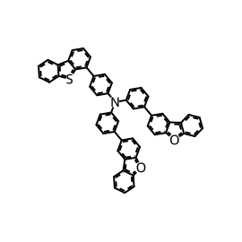 c1cc(-c2ccc3oc4ccccc4c3c2)cc(N(c2ccc(-c3cccc4c3sc3ccccc34)cc2)c2cccc(-c3ccc4oc5ccccc5c4c3)c2)c1